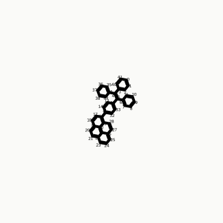 c1ccc(C(=C(c2ccccc2)c2ccc(-c3ccc4ccc5cccc6ccc3c4c56)cc2)c2ccccc2)cc1